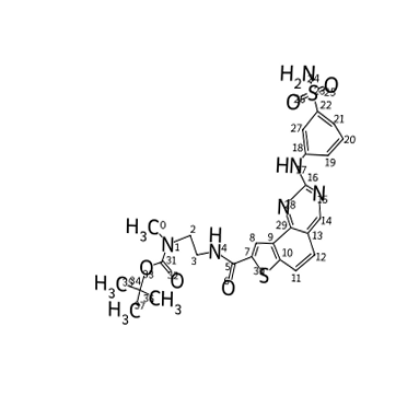 CN(CCNC(=O)c1cc2c(ccc3cnc(Nc4cccc(S(N)(=O)=O)c4)nc32)s1)C(=O)OC(C)(C)C